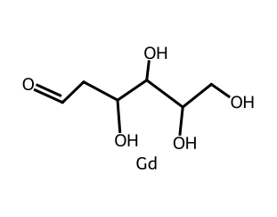 O=CCC(O)C(O)C(O)CO.[Gd]